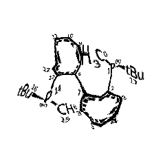 C[P@](c1ccccc1-c1ccccc1[P@@](C)C(C)(C)C)C(C)(C)C